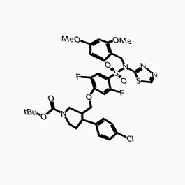 COc1ccc(CN(c2nncs2)S(=O)(=O)c2cc(F)c(OCC3CN(C(=O)OC(C)(C)C)CCC3c3ccc(Cl)cc3)cc2F)c(OC)c1